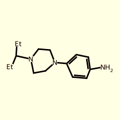 CCC(CC)N1CCN(c2ccc(N)cc2)CC1